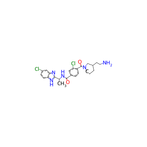 CC(NC(=O)c1ccc(C(=O)N2CCCC(CCN)C2)c(Cl)c1)c1nc2cc(Cl)ccc2[nH]1